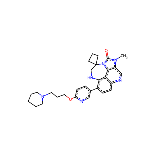 Cn1c(=O)n2c3c4c(c(-c5ccc(OCCCN6CCCCC6)nc5)ccc4ncc31)NCC21CCC1